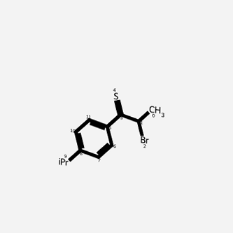 CC(Br)C(=S)c1ccc(C(C)C)cc1